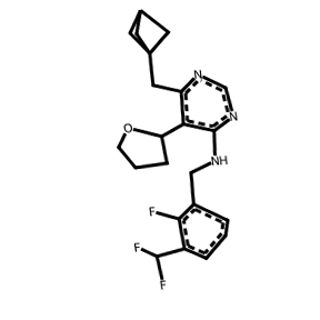 Fc1c(CNc2ncnc(CC34CC(C3)C4)c2C2CCCO2)cccc1C(F)F